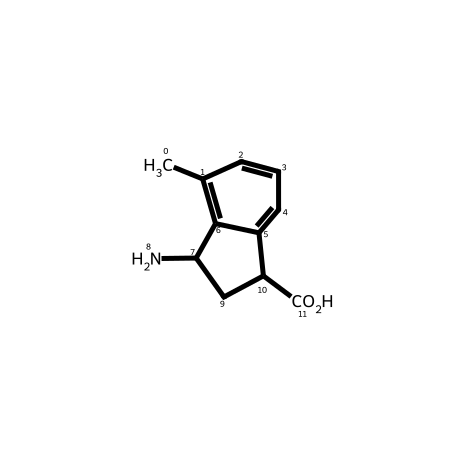 Cc1cccc2c1C(N)CC2C(=O)O